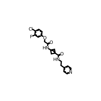 O=C(COc1ccc(Cl)c(F)c1)NC12CC(C(=O)NCCc3ccncc3)(C1)C2